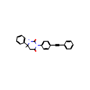 CN1C(=O)N(c2ccc(C#Cc3ccccc3)cc2)C(=O)CC1(C)c1ccccc1